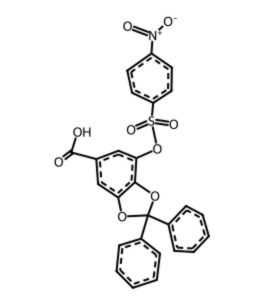 O=C(O)c1cc2c(c(OS(=O)(=O)c3ccc([N+](=O)[O-])cc3)c1)OC(c1ccccc1)(c1ccccc1)O2